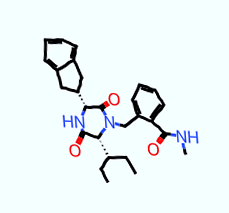 CCC(CC)[C@@H]1C(=O)N[C@H](C2Cc3ccccc3C2)C(=O)N1Cc1ccccc1C(=O)NC